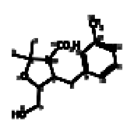 CC1(C)OC(CO)C(Cc2ccnc(C(F)(F)F)c2)N1C(=O)O